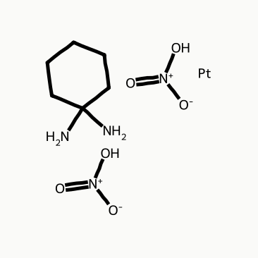 NC1(N)CCCCC1.O=[N+]([O-])O.O=[N+]([O-])O.[Pt]